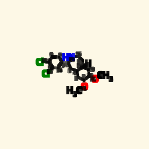 COC1CC2CC(c3ccc(Cl)c(Cl)c3)NCC[C@@H]2CC1OC